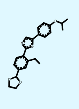 CCc1cc(C2OCCO2)ccc1-c1ncc(-c2ccc(OC(C)C)cc2)s1